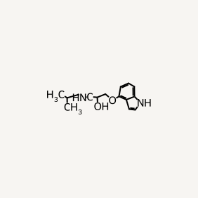 CC(C)CNCC(O)COc1cccc2[nH]ccc12